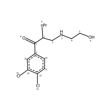 CCCC(CNCCO)C(=O)c1ccc(Cl)c(Cl)c1